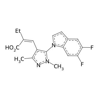 CCC(=Cc1c(C)nn(C)c1-n1ccc2cc(F)c(F)cc21)C(=O)O